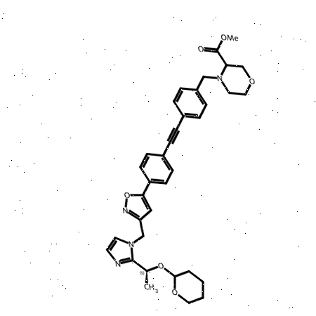 COC(=O)C1COCCN1Cc1ccc(C#Cc2ccc(-c3cc(Cn4ccnc4[C@H](C)OC4CCCCO4)no3)cc2)cc1